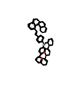 C1=CCC(C2=CCC(C3=CCCC=C3)C=C2)C(N(c2ccc(C=Cc3cccc4ccc5ccc6c(c5c34)CCC=C6)cc2)c2ccc(-c3ccccc3)cc2)=C1